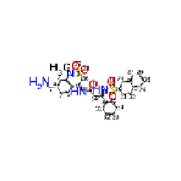 CN1c2cc(CN)ccc2C(NC(=O)CC(NS(=O)(=O)c2ccc3ccccc3c2)c2ccccc2)CS1(=O)=O